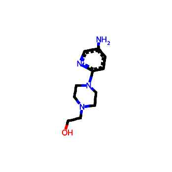 Nc1ccc(N2CCN(CCO)CC2)nc1